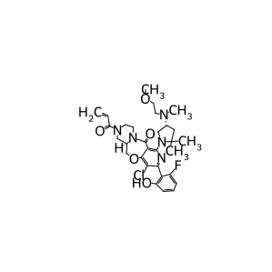 C=CC(=O)N1CCN2C(=O)c3c(N4C[C@H](N(C)CCOC)CC4(C)C)nc(-c4c(O)cccc4F)c(Cl)c3OC[C@H]2C1